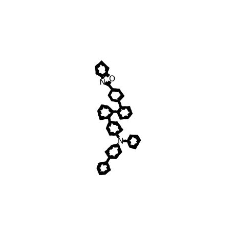 C1=C(c2nc3ccccc3o2)CCC(c2ccccc2-c2ccccc2-c2ccc(N(c3ccccc3)c3ccc(-c4ccccc4)cc3)cc2)=C1